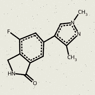 Cc1nn(C)cc1-c1cc(F)c2c(c1)C(=O)NC2